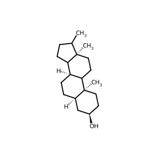 CC1CCC2[C@@H]3CC[C@@H]4C[C@H](O)CC[C@]4(C)C3CC[C@]12C